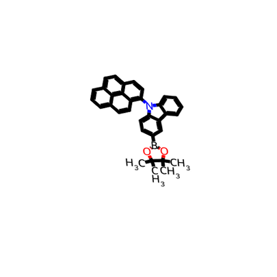 CC1(C)OB(c2ccc3c(c2)c2ccccc2n3-c2ccc3ccc4cccc5ccc2c3c45)OC1(C)C